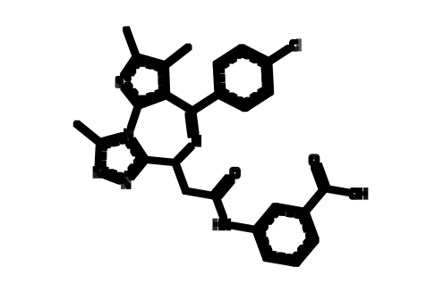 Cc1sc2c(c1C)C(c1ccc(Cl)cc1)=NC(CC(=O)Nc1cccc(C(=O)O)c1)c1nnc(C)n1-2